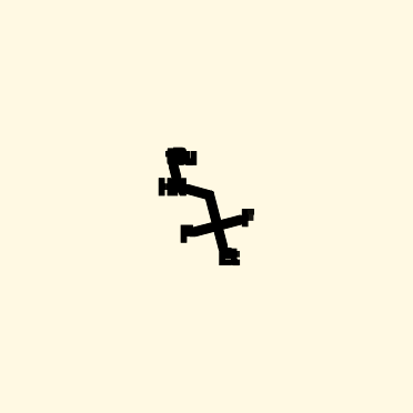 CCC(F)(F)CNC(C)(C)C